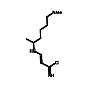 CNCCCCC(C)N/C=C/C(=N)Cl